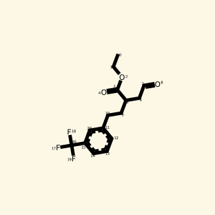 CCOC(=O)C(CC=O)CCc1cccc(C(F)(F)F)c1